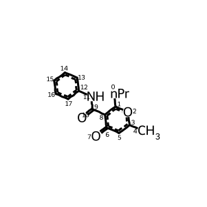 CCCc1oc(C)cc(=O)c1C(=O)Nc1ccccc1